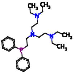 CCN(CC)CCN(CCN(CC)CC)CCP(c1ccccc1)c1ccccc1